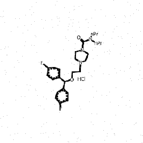 CCCN(CCC)C(=O)N1CCN(CCOC(c2ccc(F)cc2)c2ccc(F)cc2)CC1.Cl